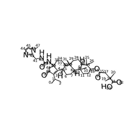 CC(C)C1=C2[C@H]3CC[C@@H]4[C@@]5(C)CC[C@H](OC(=O)CC(C)(C)C(=O)O)C(C)(C)[C@@H]5CC[C@@]4(C)[C@]3(C)CC[C@@]2(NC(=O)NCc2nccn2C)CC1=O